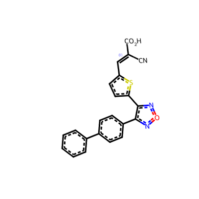 N#C/C(=C\c1ccc(-c2nonc2-c2ccc(-c3ccccc3)cc2)s1)C(=O)O